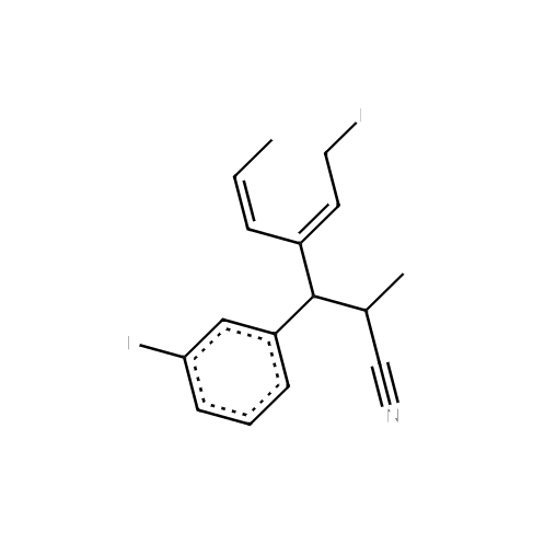 C/C=C\C(=C/CF)C(c1cccc(F)c1)C(C)C#N